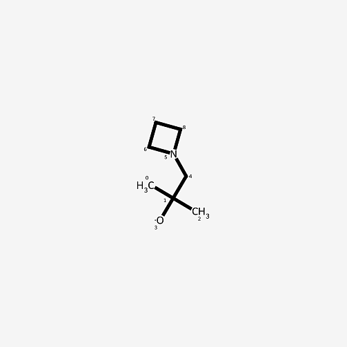 CC(C)([O])CN1CCC1